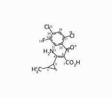 CC1CC1C(N)=C(C(=O)O)C(=O)c1cc(F)c(Cl)cc1Cl